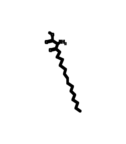 CCCCCCCCCCCCCCCC(=O)C(N)C(=O)OC